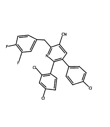 N#Cc1cc(-c2ccc(Cl)cc2)c(-c2ccc(Cl)cc2Cl)nc1Cc1ccc(F)c(F)c1